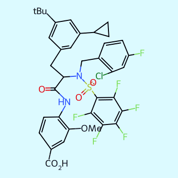 COc1cc(C(=O)O)ccc1NC(=O)C(Cc1cc(C2CC2)cc(C(C)(C)C)c1)N(Cc1ccc(F)cc1Cl)S(=O)(=O)c1c(F)c(F)c(F)c(F)c1F